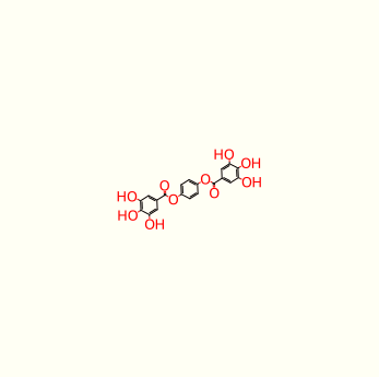 O=C(Oc1ccc(OC(=O)c2cc(O)c(O)c(O)c2)cc1)c1cc(O)c(O)c(O)c1